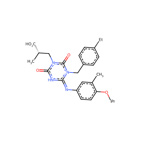 CCc1ccc(Cn2c(=O)n(C[C@H](C)C(=O)O)c(=O)[nH]/c2=N/c2ccc(OC(C)C)c(C)c2)cc1